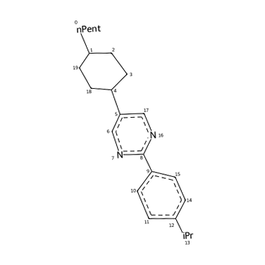 CCCCCC1CCC(c2cnc(-c3ccc(C(C)C)cc3)nc2)CC1